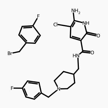 Fc1ccc(CBr)cc1.Nc1[nH]c(=O)c(C(=O)NCC2CCN(Cc3ccc(F)cc3)CC2)cc1Cl